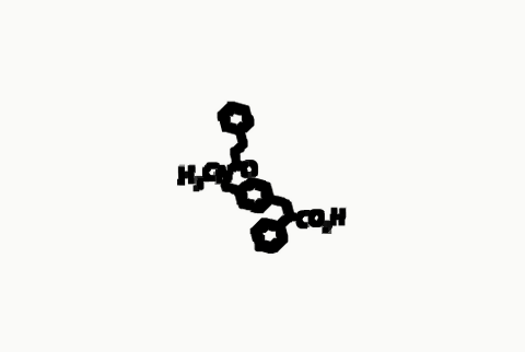 CN(Cc1ccc(CC(C(=O)O)c2ccccc2)cc1)C(=O)CCc1ccccc1